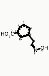 O=C(O)c1cccc(C/C=N\O)c1